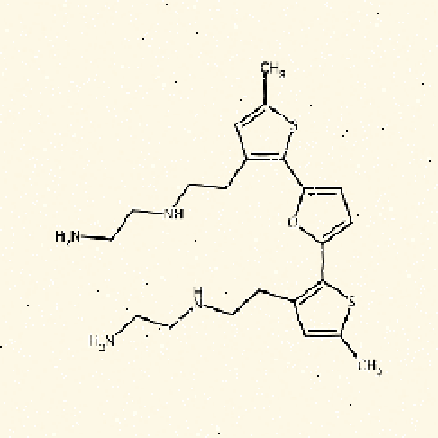 Cc1cc(CCNCCN)c(-c2ccc(-c3sc(C)cc3CCNCCN)o2)s1